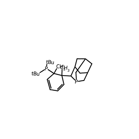 CC(C)(C)P(C(C)(C)C)C1(C)C=CC=CC1(C)C1C2CC3CC(C2)CP1C3